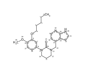 CCCCCOc1cc(N2CCCN(Cc3ccnc4[nH]ccc34)C2=O)ccc1OC